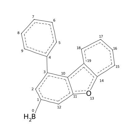 Bc1cc(-c2ccccc2)c2c(c1)oc1ccccc12